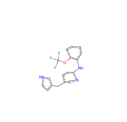 FC(F)(F)Oc1ccccc1Nc1ccc(Cc2cc[nH]c2)cn1